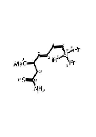 COC(/C=C/C=C\[Si](C(C)C)(C(C)C)C(C)C)CC(N)=S